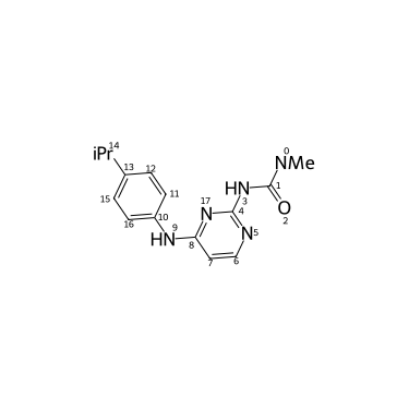 CNC(=O)Nc1nccc(Nc2ccc(C(C)C)cc2)n1